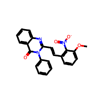 COc1cccc(C=Cc2nc3ccccc3c(=O)n2-c2ccccc2)c1[N+](=O)[O-]